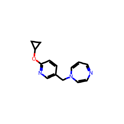 C1=CN(Cc2ccc(OC3CC3)nc2)C=CN=C1